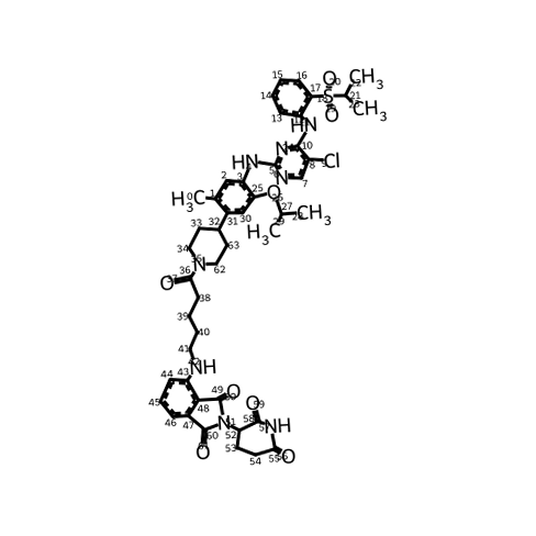 Cc1cc(Nc2ncc(Cl)c(Nc3ccccc3S(=O)(=O)C(C)C)n2)c(OC(C)C)cc1C1CCN(C(=O)CCCCNc2cccc3c2C(=O)N(C2CCC(=O)NC2=O)C3=O)CC1